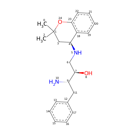 CC1(C)C[C@H](NC[C@@H](O)[C@@H](N)Cc2ccccc2)c2ccccc2O1